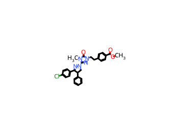 COC(=O)c1ccc(CCn2nc(N3CC(c4ccccc4)C(c4ccc(Cl)cc4)=N3)n(C)c2=O)cc1